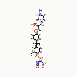 Cc1cc(C(C)(C)c2ccc(OCC(O)CN3CCNCC3)cc2)ccc1OCC(CCl)N=O